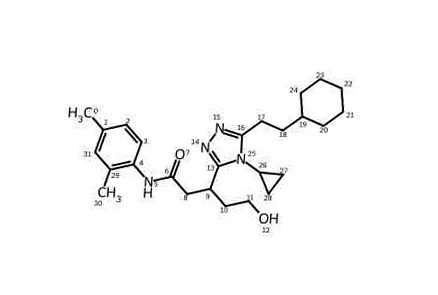 Cc1ccc(NC(=O)CC(CCO)c2nnc(CCC3CCCCC3)n2C2CC2)c(C)c1